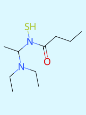 CCCC(=O)N(S)C(C)N(CC)CC